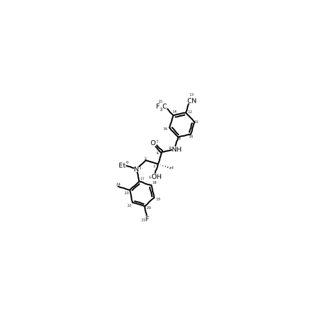 CCN(C[C@](C)(O)C(=O)Nc1ccc(C#N)c(C(F)(F)F)c1)c1ccc(F)cc1C